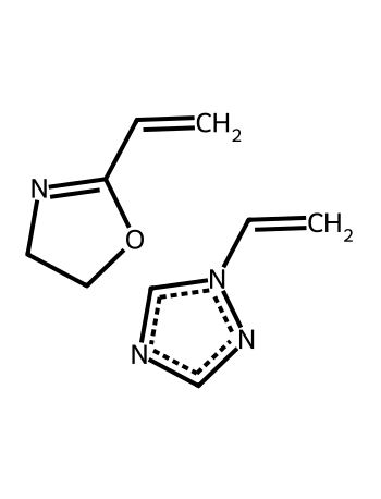 C=CC1=NCCO1.C=Cn1cncn1